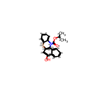 CC(C)OC(=O)N1c2ccccc2Sc2cc(O)c3ccccc3c21